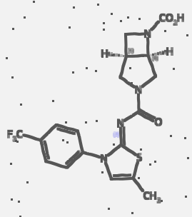 Cc1cn(-c2ccc(C(F)(F)F)cc2)/c(=N/C(=O)N2C[C@H]3CN(C(=O)O)[C@H]3C2)s1